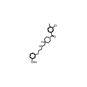 CCc1cc(C(=O)N2CCC(F)(CNCCSc3cccc(OC)c3)CC2)ccc1C